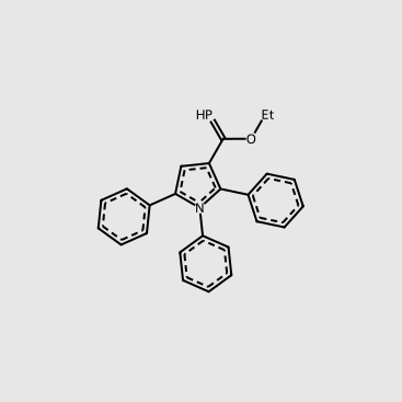 CCOC(=P)c1cc(-c2ccccc2)n(-c2ccccc2)c1-c1ccccc1